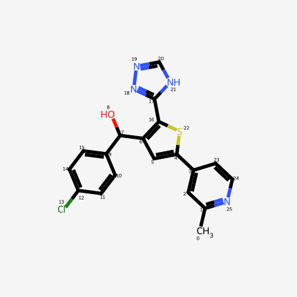 Cc1cc(-c2cc(C(O)c3ccc(Cl)cc3)c(-c3nnc[nH]3)s2)ccn1